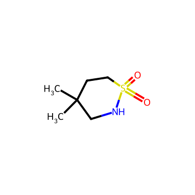 CC1(C)CCS(=O)(=O)NC1